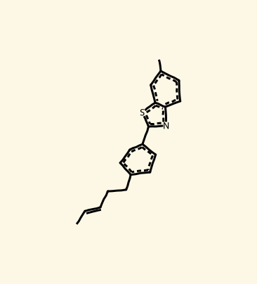 C/C=C/CCc1ccc(-c2nc3ccc(C)cc3s2)cc1